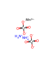 [Mn+2].[NH4+].[NH4+].[O]=[Cr](=[O])([O-])[O-].[O]=[Cr](=[O])([O-])[O-]